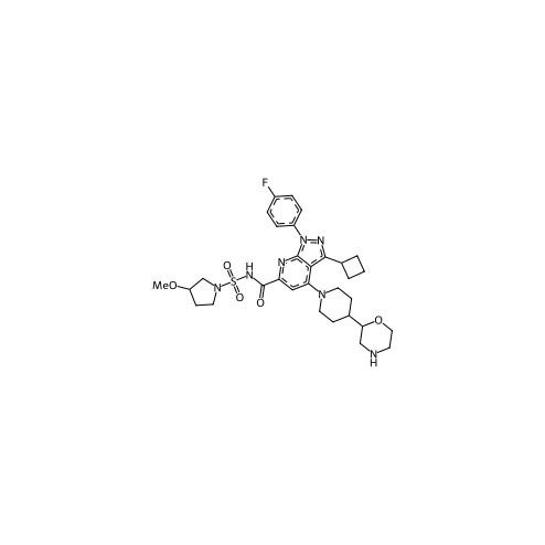 COC1CCN(S(=O)(=O)NC(=O)c2cc(N3CCC(C4CNCCO4)CC3)c3c(C4CCC4)nn(-c4ccc(F)cc4)c3n2)C1